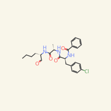 CCCC[C@@H](C=O)NC(=O)[C@H](C)NC(=O)[C@H](Cc1ccc(Cl)cc1)NC(=O)c1ccccc1